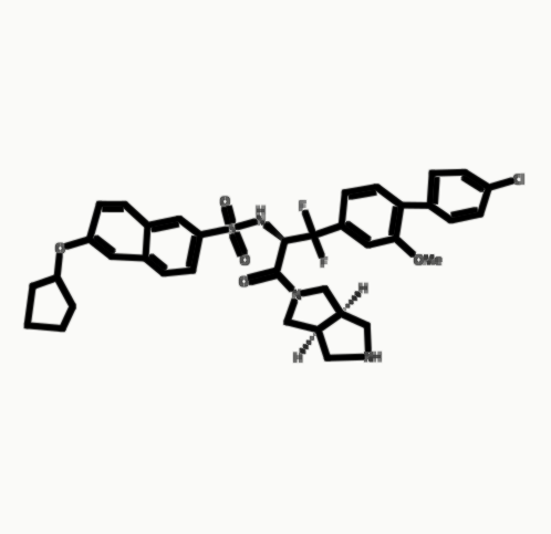 COc1cc(C(F)(F)[C@H](NS(=O)(=O)c2ccc3cc(OC4CCCC4)ccc3c2)C(=O)N2C[C@H]3CNC[C@H]3C2)ccc1-c1ccc(Cl)cc1